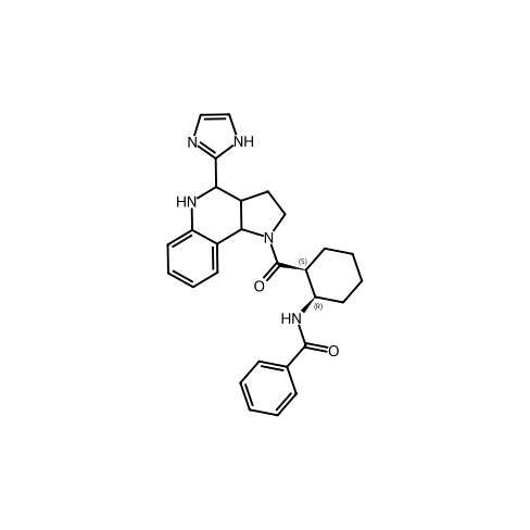 O=C(N[C@@H]1CCCC[C@@H]1C(=O)N1CCC2C(c3ncc[nH]3)Nc3ccccc3C21)c1ccccc1